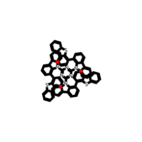 C1=CC2Sc3c(-c4cccc5c6ccccc6n(-c6nc(-n7c8ccccc8c8cccc(-c9cccc%10c9sc9ccccc9%10)c87)nc(-n7c8ccccc8c8cccc(-c9cccc%10c9sc9ccccc9%10)c87)n6)c45)cccc3C2C=C1